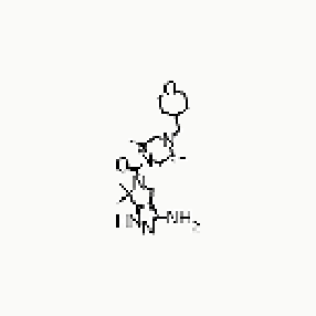 C[C@H]1CN(C(=O)N2Cc3c(N)n[nH]c3C2(C)C)[C@@H](C)CN1CC1CCOCC1